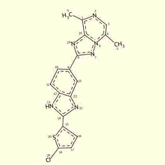 Cc1ncc(C)n2nc(-c3ccc4[nH]c(-c5ccc(Cl)s5)nc4c3)nc12